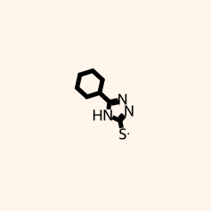 [S]c1nnc(C2CCCCC2)[nH]1